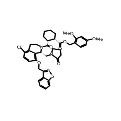 COc1ccc(COC(=O)[C@H]2CCCC[C@H]2C(=O)N2CCc3c(Cl)ccc(OCc4nsc5ccccc45)c3[C@H]2CN2CCCC2=O)c(OC)c1